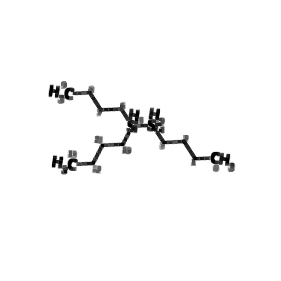 CCCC[SiH2][SiH](CCCC)CCCC